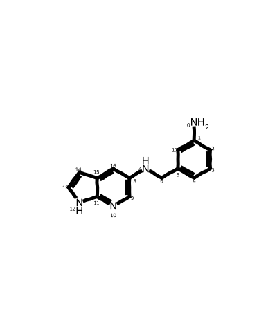 Nc1cccc(CNc2cnc3[nH]ccc3c2)c1